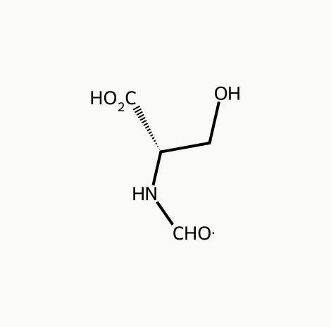 O=[C]N[C@@H](CO)C(=O)O